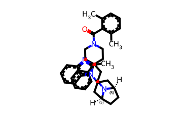 Cc1cccc(C)c1C(=O)N1CCC(CCN2[C@@H]3CC[C@H]2CC(n2c(C)nc4ccccc42)C3)(c2ccccc2)CC1